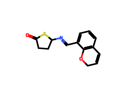 O=C1CCC(N=Cc2cccc3c2OCC=C3)S1